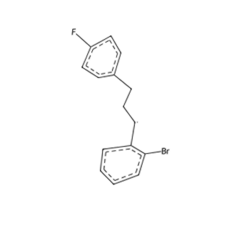 Fc1ccc(CC[CH]c2ccccc2Br)cc1